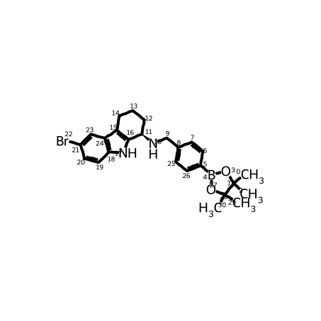 CC1(C)OB(c2ccc(CN[C@@H]3CCCc4c3[nH]c3ccc(Br)cc43)cc2)OC1(C)C